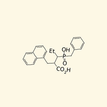 CCC(C(Cc1cccc2ccccc12)C(=O)O)P(=O)(O)Cc1ccccc1